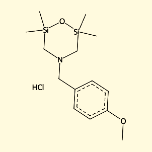 COc1ccc(CN2C[Si](C)(C)O[Si](C)(C)C2)cc1.Cl